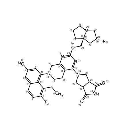 CCc1c(F)ccc2cc(O)cc(N3CCc4c(nc(OC[C@@]56CCCN5C[C@H](F)C6)nc4N4CC5C(=O)NC(=O)C5C4)C3)c12